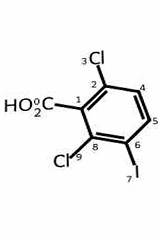 O=C(O)c1c(Cl)ccc(I)c1Cl